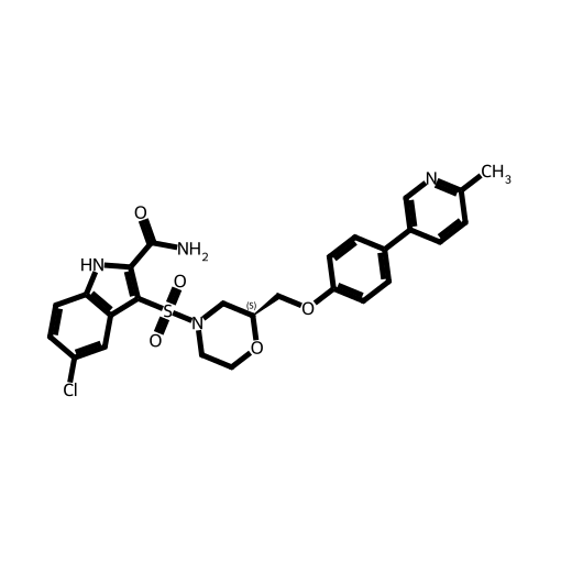 Cc1ccc(-c2ccc(OC[C@@H]3CN(S(=O)(=O)c4c(C(N)=O)[nH]c5ccc(Cl)cc45)CCO3)cc2)cn1